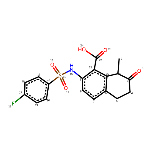 CC1C(=O)CCc2ccc(NS(=O)(=O)c3ccc(F)cc3)c(C(=O)O)c21